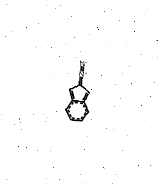 [N-]=[N+]=C1C=c2ccccc2=C1